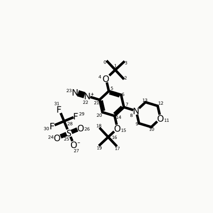 CC(C)(C)Oc1cc(N2CCOCC2)c(OC(C)(C)C)cc1[N+]#N.O=S(=O)([O-])C(F)(F)F